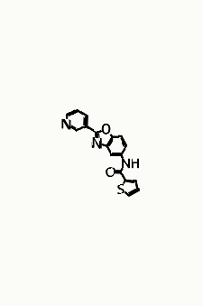 O=C(Nc1ccc2oc(-c3cccnc3)nc2c1)c1cccs1